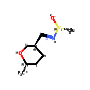 CC(C)(C)[S@@+]([O-])/N=C/[C@H]1CC[C@H](C(F)(F)F)OC1